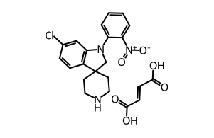 O=C(O)C=CC(=O)O.O=[N+]([O-])c1ccccc1N1CC2(CCNCC2)c2ccc(Cl)cc21